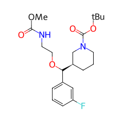 COC(=O)NCCOC(c1cccc(F)c1)[C@@H]1CCCN(C(=O)OC(C)(C)C)C1